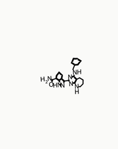 NC(=O)c1cccc2c(-c3nc4c(c(NCc5ccccc5)n3)CCCCN4)n[nH]c12